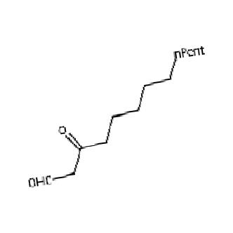 CCCCCCCCCCC(=O)CC=O